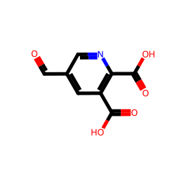 O=Cc1cnc(C(=O)O)c(C(=O)O)c1